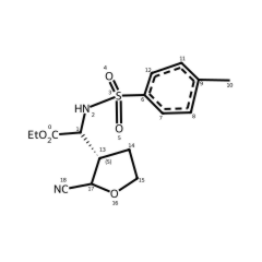 CCOC(=O)C(NS(=O)(=O)c1ccc(C)cc1)[C@@H]1CCOC1C#N